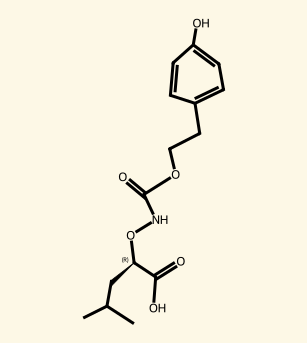 CC(C)C[C@@H](ONC(=O)OCCc1ccc(O)cc1)C(=O)O